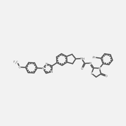 CC(C)c1ccccc1N1C(=O)CS/C1=N\C(=O)NC1Cc2ccc(-c3ncn(-c4ccc(OC(F)(F)F)cc4)n3)cc2C1